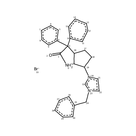 NC(=O)C(c1ccccc1)(c1ccccc1)C1CCC(n2cc[n+](Cc3ccccc3)c2)C1.[Br-]